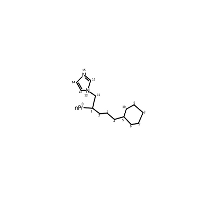 CCCC(CCCC1CCCCC1)Cn1ccnc1